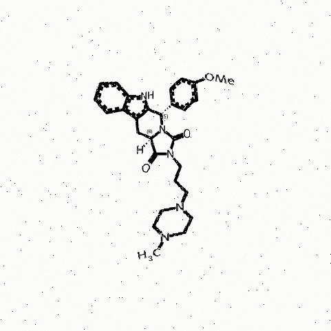 COc1ccc([C@H]2c3[nH]c4ccccc4c3C[C@@H]3C(=O)N(CCCN4CCN(C)CC4)C(=O)N23)cc1